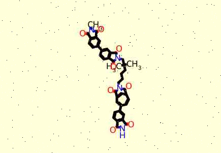 CN1C(=O)c2ccc(-c3ccc4c(c3)C(=O)N(CC(C)(C)CCCCN3C(=O)C5=CC(C=CC(c6ccc7c(c6)C(=O)NC7=O)=C5)C3=O)C4=O)cc2C1=O